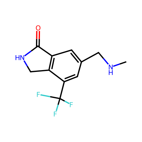 CNCc1cc2c(c(C(F)(F)F)c1)CNC2=O